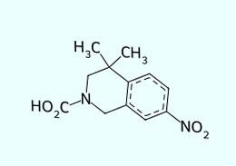 CC1(C)CN(C(=O)O)Cc2cc([N+](=O)[O-])ccc21